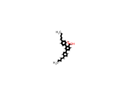 CCCC=Cc1ccc(-c2cc(C3=CCC(CCCCC)CC3)ccc2C(=O)O)cc1